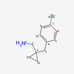 NCC1(Cc2ccc(Br)cc2)CC1